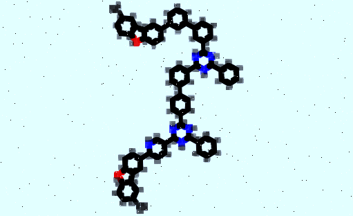 N#Cc1ccc2oc3ccc(-c4cccc(-c5cccc(-c6nc(-c7ccccc7)nc(-c7cccc(-c8ccc(-c9nc(-c%10ccccc%10)nc(-c%10ccc(-c%11ccc%12oc%13ccc(C#N)cc%13c%12c%11)nc%10)n9)cc8)c7)n6)c5)c4)cc3c2c1